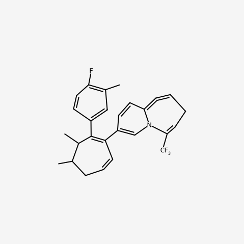 Cc1cc(C2=C(C3=CN4C(=C=CCC=C4C(F)(F)F)C=C3)C=CCC(C)C2C)ccc1F